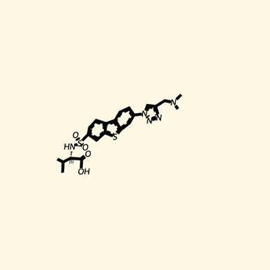 CC(C)[C@H](NS(=O)(=O)c1ccc2c(c1)sc1cc(-n3cc(CN(C)C)nn3)ccc12)C(=O)O